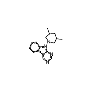 CC1CC(C)CN(n2c3ccccc3c3cncnc32)C1